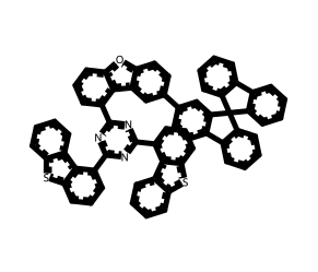 c1ccc2c(c1)-c1ccccc1C21c2ccccc2-c2ccc(-c3ccc4oc5cccc(-c6nc(-c7cccc8sc9ccccc9c78)nc(-c7cccc8sc9ccccc9c78)n6)c5c4c3)cc21